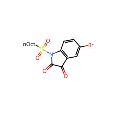 CCCCCCCCS(=O)(=O)N1C(=O)C(=O)c2cc(Br)ccc21